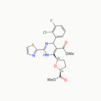 COC(=O)C1=C([C@H]2CC[C@@H](C(=O)OC)O2)NC(c2nccs2)=NC1c1cccc(F)c1Cl